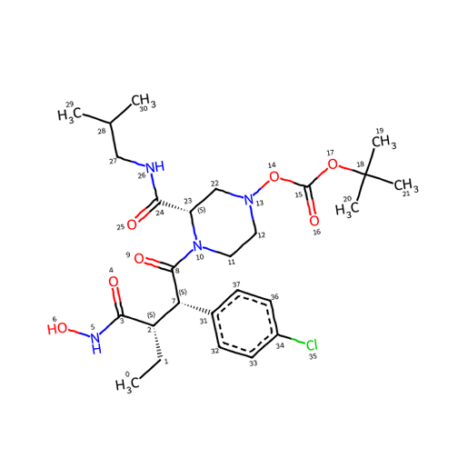 CC[C@H](C(=O)NO)[C@H](C(=O)N1CCN(OC(=O)OC(C)(C)C)C[C@H]1C(=O)NCC(C)C)c1ccc(Cl)cc1